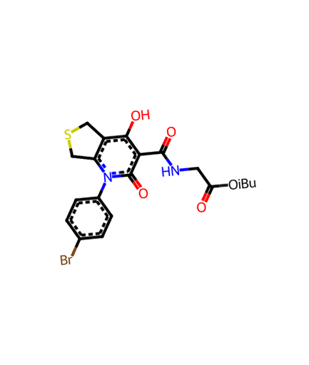 CC(C)COC(=O)CNC(=O)c1c(O)c2c(n(-c3ccc(Br)cc3)c1=O)CSC2